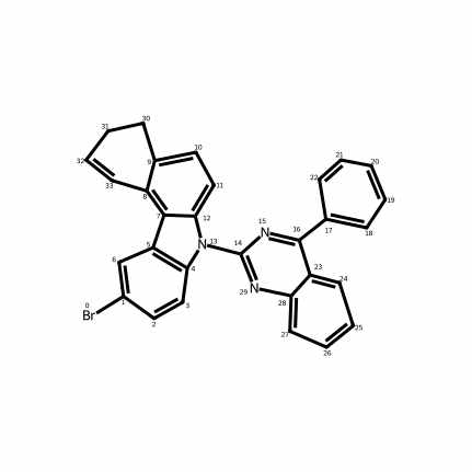 Brc1ccc2c(c1)c1c3c(ccc1n2-c1nc(-c2ccccc2)c2ccccc2n1)CCC=C3